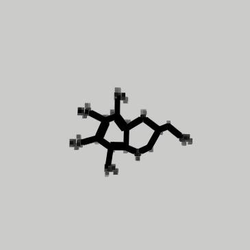 CCC1COc2c(N)c(C)c(C)c(N)c2S1